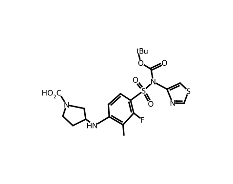 Cc1c(NC2CCN(C(=O)O)C2)ccc(S(=O)(=O)N(C(=O)OC(C)(C)C)c2cscn2)c1F